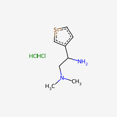 CN(C)CC(N)c1ccsc1.Cl.Cl